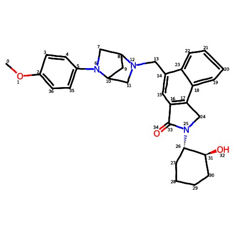 COc1ccc(N2CC3CC2CN3Cc2cc3c(c4ccccc24)CN([C@H]2CCCC[C@@H]2O)C3=O)cc1